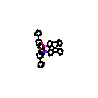 c1ccc(-c2ccc3c4ccccc4n(-c4ccc5c(c4)C4(c6ccccc6-5)c5ccccc5-c5ccc(-n6c7ccccc7c7ccc(-c8ccccc8)cc76)cc54)c3c2)cc1